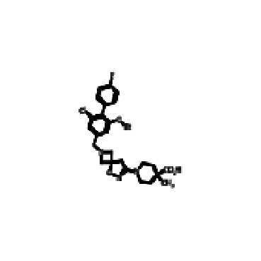 CCOc1cc(CN2CC3(CC(N4CCC(C)(C(=O)O)CC4)=NO3)C2)cc(Cl)c1-c1ccc(F)cc1